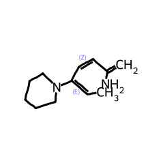 C=C(N)/C=C\C(=C/C)N1CCCCC1